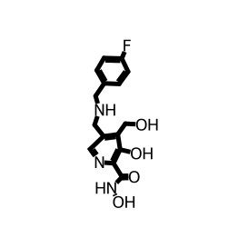 O=C(NO)c1ncc(CNCc2ccc(F)cc2)c(CO)c1O